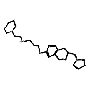 c1cc2c(cc1OCCCNCCN1CCCCC1)CCC(CN1CCCC1)C2